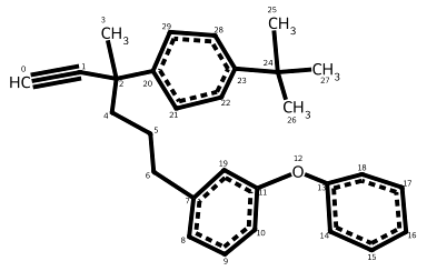 C#CC(C)(CCCc1cccc(Oc2ccccc2)c1)c1ccc(C(C)(C)C)cc1